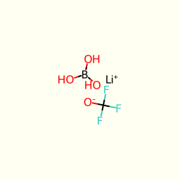 OB(O)O.[Li+].[O-]C(F)(F)F